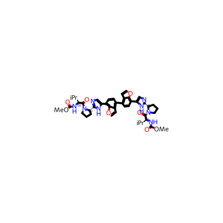 COC(=O)N[C@H](C(=O)N1CCC[C@H]1c1ncc(-c2ccc(-c3ccc(-c4cnc([C@@H]5CCCN5C(=O)[C@@H](NC(=O)OC)C(C)C)[nH]4)c4occc34)c3ccoc23)[nH]1)C(C)C